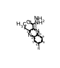 CCc1nc2cc(I)ccc2nc1C(=O)NN